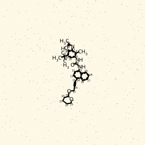 Cc1nc2c(C)c(NC(=O)Nc3ccc(C#CCOC4CCCCO4)c4ccccc34)cc(C(C)(C)C)c2o1